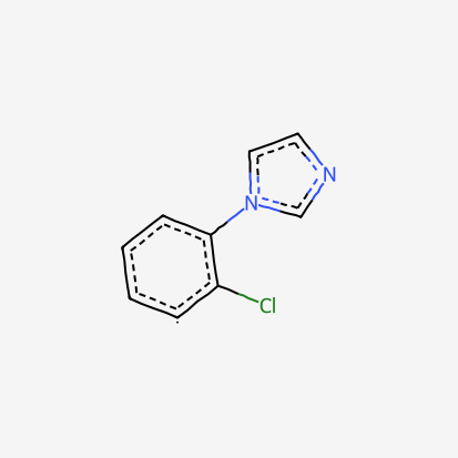 Clc1[c]cccc1-n1ccnc1